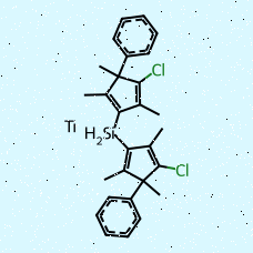 CC1=C(Cl)C(C)(c2ccccc2)C(C)=C1[SiH2]C1=C(C)C(C)(c2ccccc2)C(Cl)=C1C.[Ti]